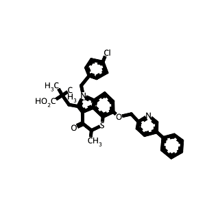 CC1Sc2c(OCc3ccc(-c4ccccc4)cn3)ccc3c2c(c(CC(C)(C)C(=O)O)n3Cc2ccc(Cl)cc2)C1=O